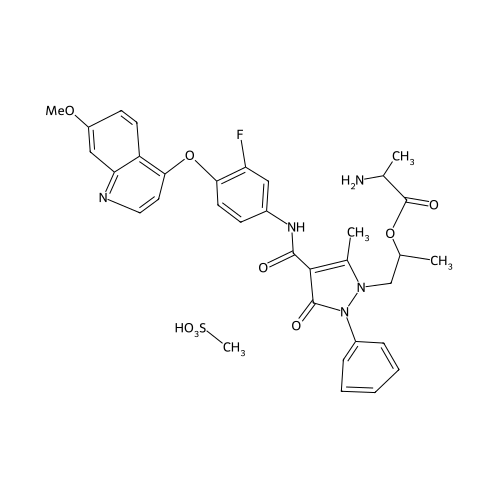 COc1ccc2c(Oc3ccc(NC(=O)c4c(C)n(CC(C)OC(=O)C(C)N)n(-c5ccccc5)c4=O)cc3F)ccnc2c1.CS(=O)(=O)O